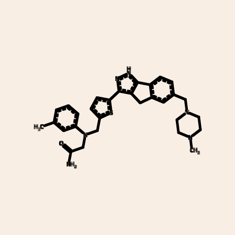 Cc1cccc(N(CC(N)=O)Cc2ccc(-c3n[nH]c4c3Cc3cc(CN5CCN(C)CC5)ccc3-4)s2)c1